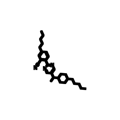 CCCCCc1ccc(-c2ncc(C(C)C3CCC(CCCCC)CC3)cn2)c(C#N)c1